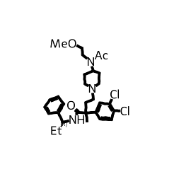 CC[C@@H](NC(=O)C(C)(CCN1CCC(N(CCOC)C(C)=O)CC1)c1ccc(Cl)c(Cl)c1)c1ccccc1